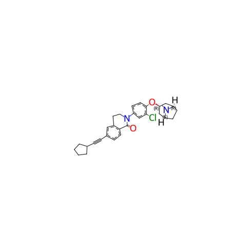 CN1[C@@H]2CC[C@H]1C[C@@H](Oc1ccc(N3CCc4cc(C#CC5CCCC5)ccc4C3=O)cc1Cl)C2